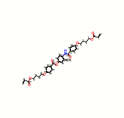 C=CC(=O)OCCCCOc1ccc(C(=O)Nc2ccc(OC(=O)c3ccc(OCCCCOC(=O)C=C)cc3)cc2C#N)cc1